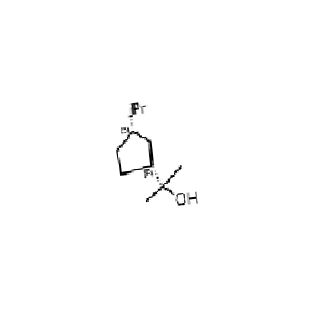 CC(C)[C@H]1CC[C@@H](C(C)(C)O)C1